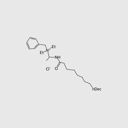 CCCCCCCCCCCCCCCCCC(=O)NC(C)[N+](CC)(CC)Cc1ccccc1.[Cl-]